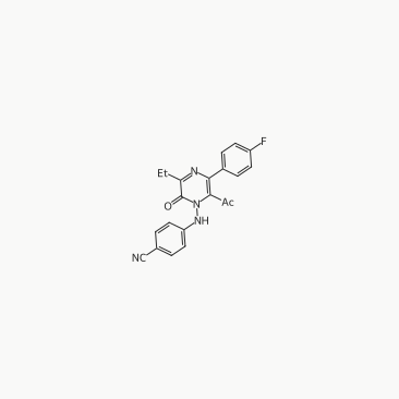 CCc1nc(-c2ccc(F)cc2)c(C(C)=O)n(Nc2ccc(C#N)cc2)c1=O